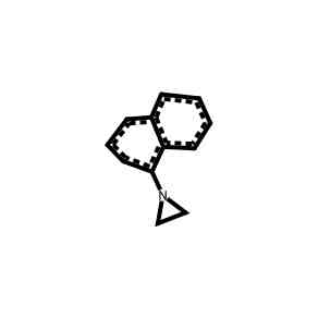 c1ccc2c(N3CC3)cccc2c1